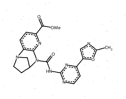 COC(=O)c1ccc2c(n1)N(C(=O)Nc1nccc(-c3cnc(C)o3)n1)C1CCN2C1